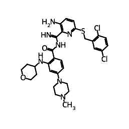 CN1CCN(c2ccc(C(=O)NC(=N)c3nc(SCc4cc(Cl)ccc4Cl)ccc3N)c(NC3CCOCC3)c2)CC1